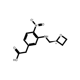 O=C(O)Cc1ccc([N+](=O)[O-])c(NC[C@@H]2CCO2)c1